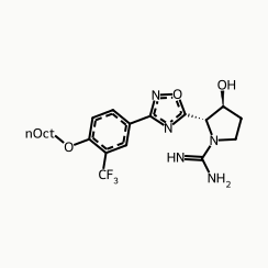 CCCCCCCCOc1ccc(-c2noc([C@@H]3[C@@H](O)CCN3C(=N)N)n2)cc1C(F)(F)F